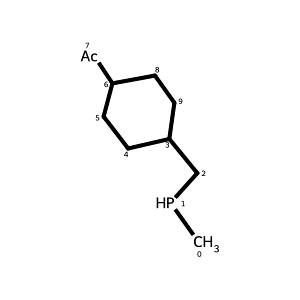 CPCC1CCC(C(C)=O)CC1